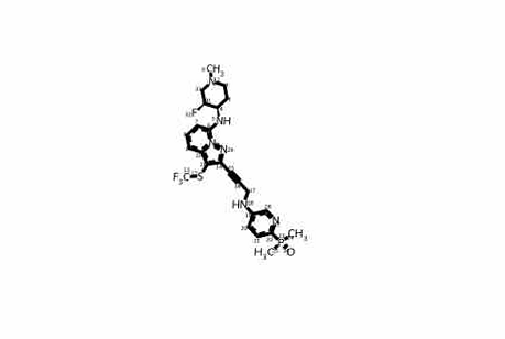 CN1CC[C@@H](Nc2cccc3c(SC(F)(F)F)c(C#CCNc4ccc(P(C)(C)=O)nc4)nn23)[C@@H](F)C1